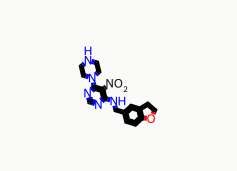 O=[N+]([O-])c1c(NCc2ccc3c(c2)CCO3)ncnc1N1CCNCC1